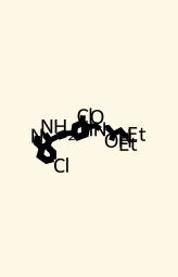 CCN(CC)CC(O)CNC(=O)c1ccc(C#Cc2c(N)ncc3ccc(Cl)cc23)cc1Cl